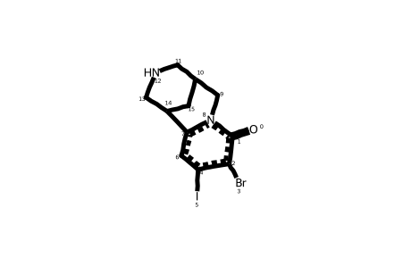 O=c1c(Br)c(I)cc2n1CC1CNCC2C1